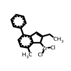 CCC1=Cc2c(-c3ccccc3)ccc(C)c2[CH]1[Zr]([Cl])[Cl]